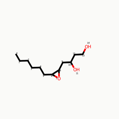 CCCCCCC1OC1CC(O)CCO